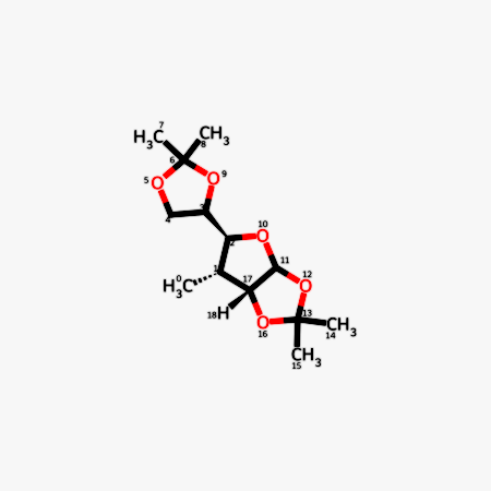 C[C@@H]1[C@@H](C2COC(C)(C)O2)OC2OC(C)(C)O[C@@H]21